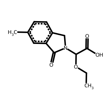 CCOC(C(=O)O)N1Cc2ccc(C)cc2C1=O